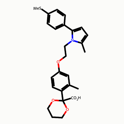 CSc1ccc(-c2ccc(C)n2CCOc2ccc(C3(C(=O)O)OCCCO3)c(C)c2)cc1